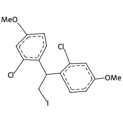 COc1ccc(C(CI)c2ccc(OC)cc2Cl)c(Cl)c1